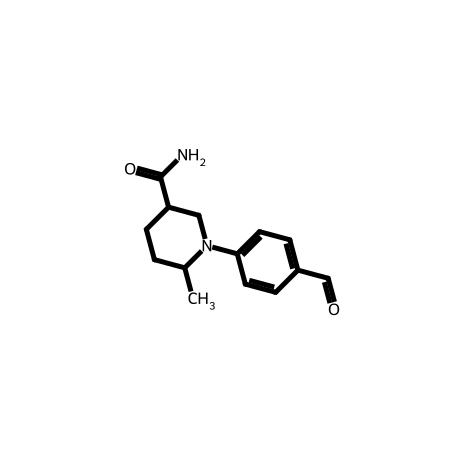 CC1CCC(C(N)=O)CN1c1ccc(C=O)cc1